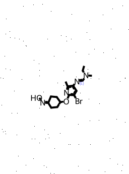 CCN(C)/C=N/c1cc(Br)c(OC2CCC(=NO)CC2)nc1C